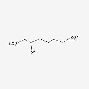 CCOC(=O)CCCCC(S)CC(=O)O